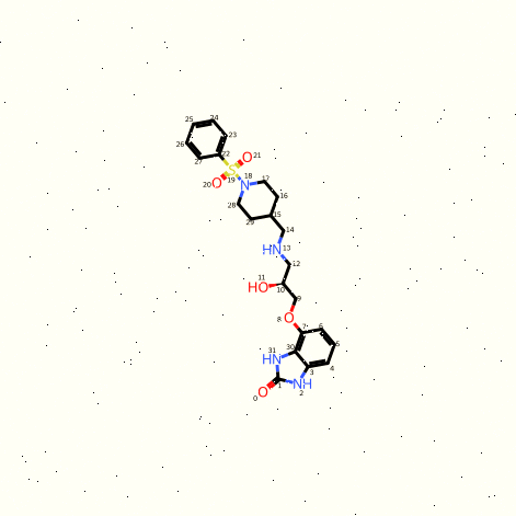 O=c1[nH]c2cccc(OC[C@@H](O)CNCC3CCN(S(=O)(=O)c4ccccc4)CC3)c2[nH]1